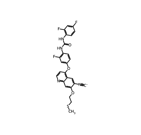 [C-]#[N+]c1cc2c(Oc3ccc(NC(=O)Nc4ccc(F)cc4F)c(F)c3)ccnc2cc1OCCSC